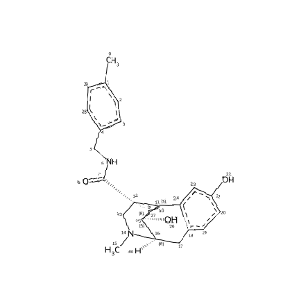 Cc1ccc(CNC(=O)[C@@H]2C[C@]34CCN(C)[C@H](Cc5ccc(O)cc53)[C@]4(O)C2)cc1